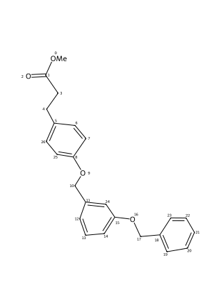 COC(=O)CCc1ccc(OCc2cccc(OCc3ccccc3)c2)cc1